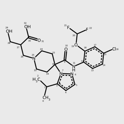 CC(C)c1ccnn1C1(C(=O)Nc2ccc(Cl)cc2OC(F)F)CCN(CC(CO)C(=O)O)CC1